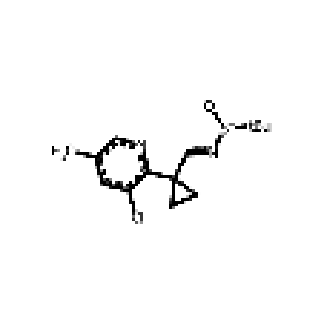 CC(C)(C)[S+]([O-])N=CC1(c2ncc(C(F)(F)F)cc2Cl)CC1